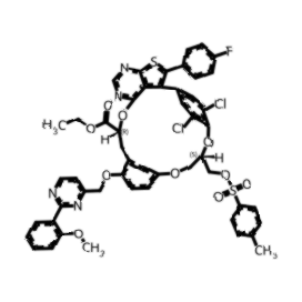 CCOC(=O)[C@H]1Cc2cc(ccc2OCc2ccnc(-c3ccccc3OC)n2)OC[C@@H](COS(=O)(=O)c2ccc(C)cc2)Oc2c(Cl)cc(cc2Cl)-c2c(-c3ccc(F)cc3)sc3ncnc(c23)O1